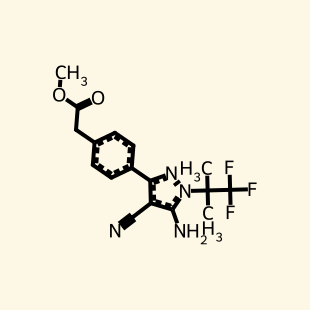 COC(=O)Cc1ccc(-c2nn(C(C)(C)C(F)(F)F)c(N)c2C#N)cc1